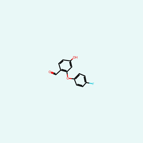 O=Cc1ccc(O)cc1Oc1ccc(F)cc1